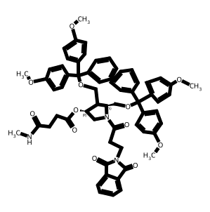 CNC(=O)CCC(=O)O[C@H]1CN(C(=O)CCN2C(=O)c3ccccc3C2=O)[C@H](COC(c2ccccc2)(c2ccc(OC)cc2)c2ccc(OC)cc2)C1COC(c1ccccc1)(c1ccc(OC)cc1)c1ccc(OC)cc1